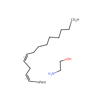 CCCCC/C=C\C/C=C\CCCCCCCC(=O)O.NCCO